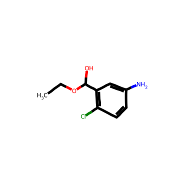 CCOC(O)c1cc(N)ccc1Cl